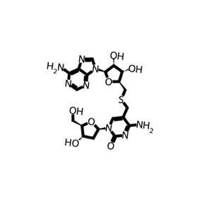 Nc1nc(=O)n([C@H]2C[C@H](O)[C@@H](CO)O2)cc1CSC[C@H]1O[C@@H](n2cnc3c(N)ncnc32)[C@H](O)[C@@H]1O